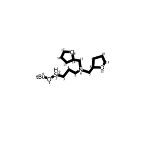 CC(C)(C)O[SiH2]CCCN(CC1CCCO1)CC1CCCO1